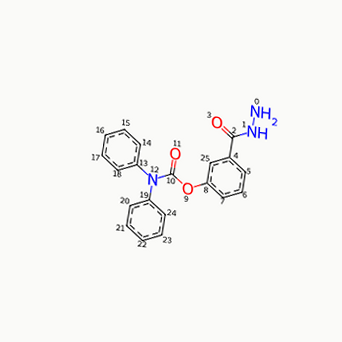 NNC(=O)c1cccc(OC(=O)N(c2ccccc2)c2ccccc2)c1